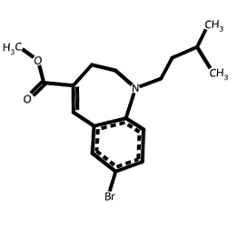 COC(=O)C1=Cc2cc(Br)ccc2N(CCC(C)C)CC1